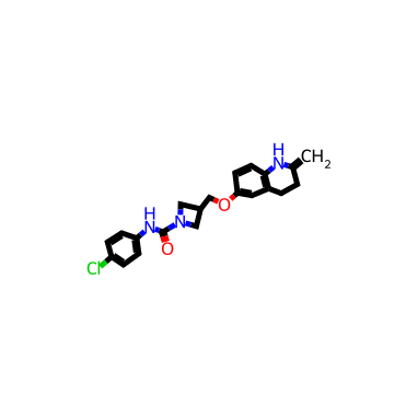 C=C1CCc2cc(OCC3CN(C(=O)Nc4ccc(Cl)cc4)C3)ccc2N1